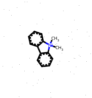 C[N+]1(C)c2ccccc2-c2ccccc21